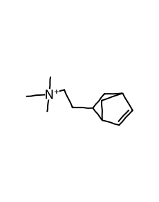 C[N+](C)(C)CCC1CC2C=CC1C2